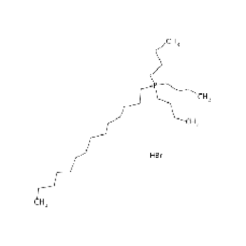 Br.CCCCCCCCCCCCCC[P](CCCC)(CCCC)CCCC